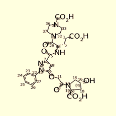 O=C(O)CC[C@H](NC(=O)c1cc(OCC(=O)N2C[C@H](O)C[C@H]2C(=O)O)n(-c2ccccc2)n1)C(=O)N1CCN(C(=O)O)CC1